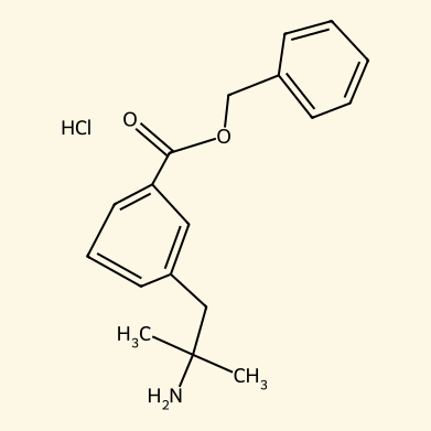 CC(C)(N)Cc1cccc(C(=O)OCc2ccccc2)c1.Cl